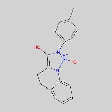 Cc1ccc(N2C(O)=C3CCc4ccccc4N3[NH+]2[O-])cc1